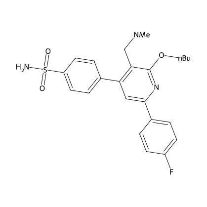 CCCCOc1nc(-c2ccc(F)cc2)cc(-c2ccc(S(N)(=O)=O)cc2)c1CNC